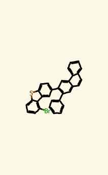 Brc1cccc2sc3ccc(-c4cc5c(ccc6ccccc65)cc4-c4ccccc4)cc3c12